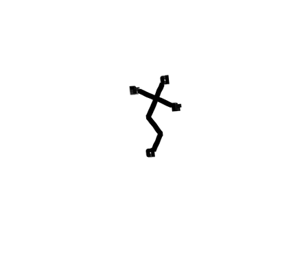 ClCCC(Cl)(Br)Br